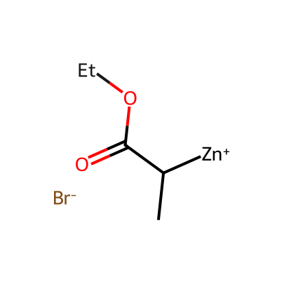 CCOC(=O)[CH](C)[Zn+].[Br-]